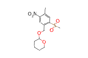 Cc1cc(S(C)(=O)=O)c(COC2CCCCO2)cc1[N+](=O)[O-]